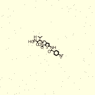 CC(C)[C@H](C(=O)NO)N1Cc2cc(NC(=O)c3ccc(N(C)C)cc3)sc2S1(=O)=O